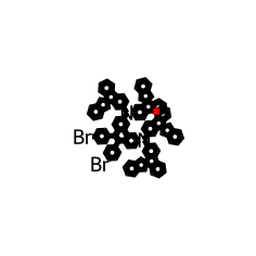 Brc1ccc(-c2c(-c3ccc(Br)cc3)c3ccc(N(c4ccc5c(c4)C4(Cc6ccccc6C4)c4ccccc4-5)c4ccc5c(c4)C4(Cc6ccccc6C4)c4ccccc4-5)cc3c3cc(N(c4ccc5c(c4)C4(Cc6ccccc6C4)c4ccccc4-5)c4ccc5c(c4)C4(Cc6ccccc6C4)c4ccccc4-5)ccc23)cc1